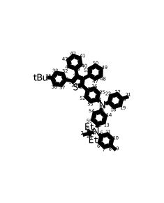 CCC(C)(CC)N(c1ccc(C)cc1)c1ccc(N(c2ccc(C)cc2)c2ccc(-c3sc(-c4ccc(C(C)(C)C)cc4)c(-c4ccccc4)c3-c3ccccc3)cc2)cc1